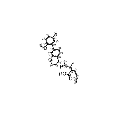 C=N/C=C\C(C(=O)O)=C(/C)NC[C@@H]1CCOc2cc(-c3cc(F)ccc3OC)ccc21